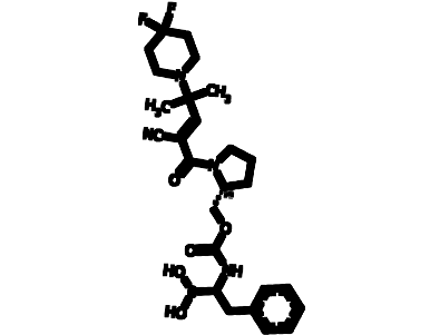 CC(C)(C=C(C#N)C(=O)N1CCC[C@@H]1COC(=O)NC(Cc1ccccc1)B(O)O)N1CCC(F)(F)CC1